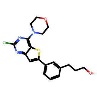 OCCCc1cccc(-c2cc3nc(Cl)nc(N4CCOCC4)c3s2)c1